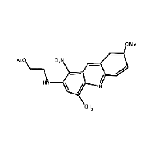 COc1ccc2nc3c(C)cc(NCCOC(C)=O)c([N+](=O)[O-])c3cc2c1